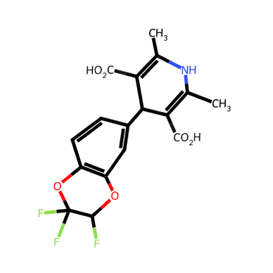 CC1=C(C(=O)O)C(c2ccc3c(c2)OC(F)C(F)(F)O3)C(C(=O)O)=C(C)N1